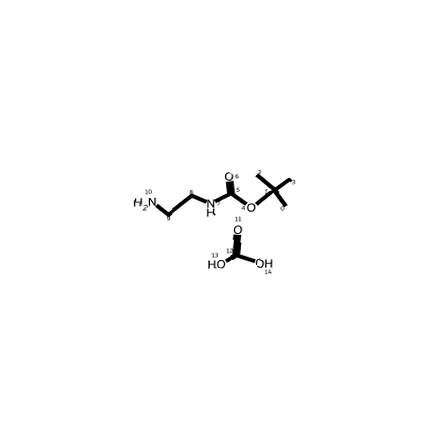 CC(C)(C)OC(=O)NCCN.O=C(O)O